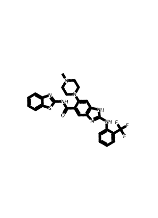 CN1CCN(c2cc3[nH]c(Nc4ccccc4C(F)(F)F)nc3cc2C(=O)Nc2nc3ccccc3s2)CC1